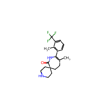 CC1=C(c2cccc(C(F)(F)F)c2C)NC(=O)C2(CCNCC2)CC1